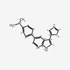 CN(C)c1ccc(-c2cnc3[nH]cc(-c4cncs4)c3c2)cc1